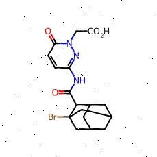 O=C(O)Cn1nc(NC(=O)C2C3CC4CC(C3)CC2(Br)C4)ccc1=O